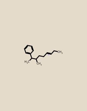 CC/C=C/CCC(C)C(C)c1ccccc1